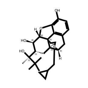 CC(C)(C)[C@@](C)(O)[C@H]1C[C@]2(C)[C@H]3Cc4ccc(O)c5c4[C@@]2(CCN3CC2CC2)[C@@H](O5)[C@@H]1O